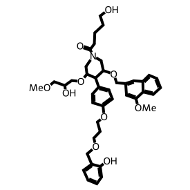 COCC(O)COC1CN(C(=O)CCCCO)CC(OCc2cc(OC)c3ccccc3c2)C1c1ccc(OCCCOCc2ccccc2O)cc1